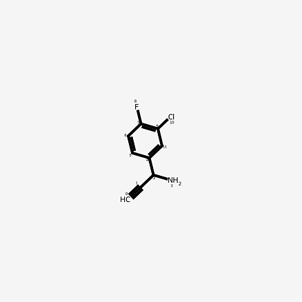 C#CC(N)c1ccc(F)c(Cl)c1